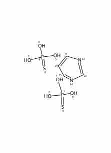 OP(O)(O)=S.OP(O)(O)=S.c1cncnc1